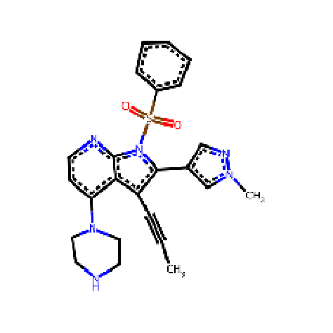 CC#Cc1c(-c2cnn(C)c2)n(S(=O)(=O)c2ccccc2)c2nccc(N3CCNCC3)c12